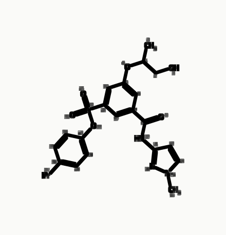 CC(CO)Oc1cc(C(=O)Nc2ccn(C)n2)cc(S(=O)(=O)Oc2ccc(C(C)C)cc2)c1